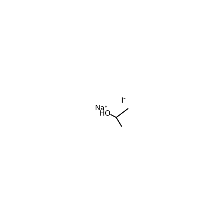 CC(C)O.[I-].[Na+]